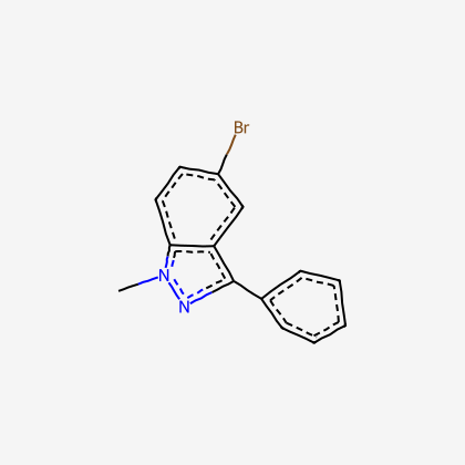 Cn1nc(-c2ccccc2)c2cc(Br)ccc21